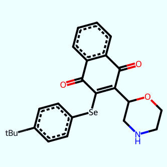 CC(C)(C)c1ccc([Se]C2=C(C3CNCCO3)C(=O)c3ccccc3C2=O)cc1